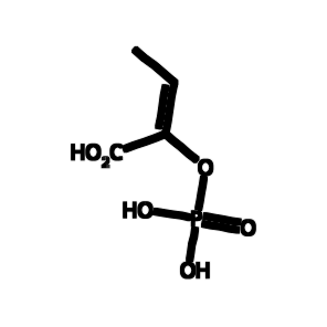 C/C=C(/OP(=O)(O)O)C(=O)O